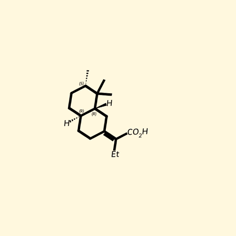 CCC(C(=O)O)=C1CC[C@H]2CC[C@H](C)C(C)(C)[C@@H]2C1